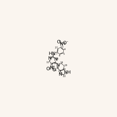 O=[N+]([O-])c1cccc(Nc2ncc([N+](=O)[O-])c(N3CCc4[nH]cnc4C3)n2)c1